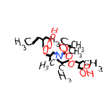 CCCC(COCC(CC)CN(CC(C)COCC(CC)CC(=O)O)C(=O)OC(C)(C)C)CC(=O)O